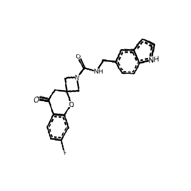 O=C1CC2(CN(C(=O)NCc3ccc4[nH]ccc4c3)C2)Oc2cc(F)ccc21